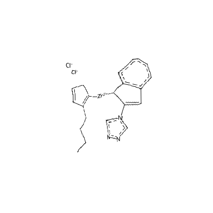 CCCCC1=[C]([Zr+2][CH]2C(n3cnnc3)=Cc3ccccc32)CC=C1.[Cl-].[Cl-]